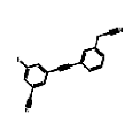 N#CCc1cccc(C#Cc2cc(F)cc(C#N)c2)c1